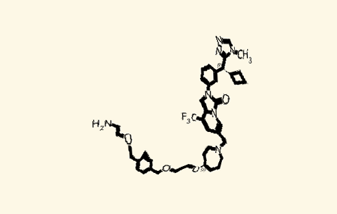 Cn1cnnc1[C@@H](c1cccc(-n2cc3c(C(F)(F)F)cc(CN4CCC[C@H](OCCOCc5ccc(COCCN)cc5)CC4)cn3c2=O)c1)C1CCC1